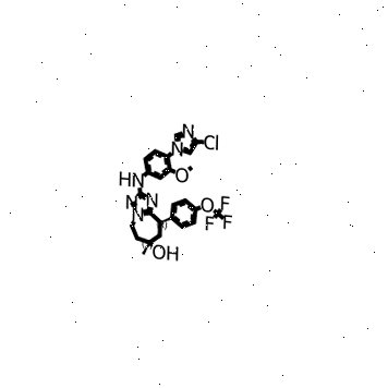 COc1cc(Nc2nc3n(n2)CC[C@@](C)(O)C[C@@H]3c2ccc(OC(F)(F)F)cc2)ccc1-n1cnc(Cl)c1